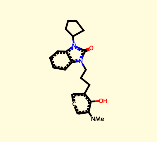 CNc1cccc(CCCn2c(=O)n(C3CCCC3)c3ccccc32)c1O